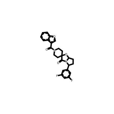 O=C(c1coc2ccccc12)N1CCC2(CC1)OC1CCC(c3cc(F)cc(F)c3)N1C2=O